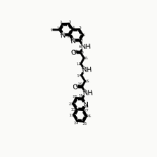 Cc1ccc2ccc(NC(=O)CCNCCC(=O)Nc3ccc4ccccc4n3)nc2n1